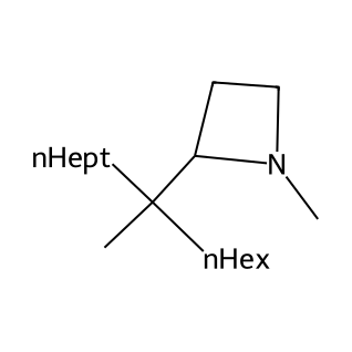 CCCCCCCC(C)(CCCCCC)C1CCN1C